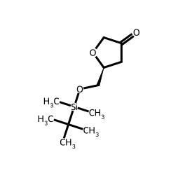 CC(C)(C)[Si](C)(C)OC[C@@H]1CC(=O)CO1